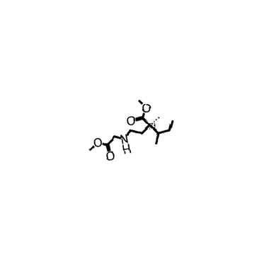 CCC(C)[C@@](C)(CCNCC(=O)OC)C(=O)OC